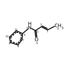 CC=CC(=O)Nc1cc[c]cc1